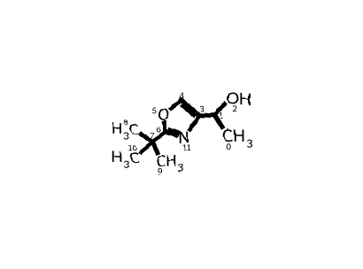 CC(O)c1coc(C(C)(C)C)n1